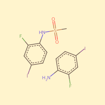 CS(=O)(=O)Nc1ccc(I)cc1F.Nc1ccc(I)cc1F